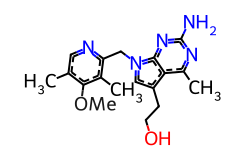 COc1c(C)cnc(Cn2cc(CCO)c3c(C)nc(N)nc32)c1C